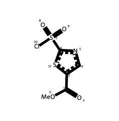 COC(=O)c1cnc(S(=O)(=O)Cl)s1